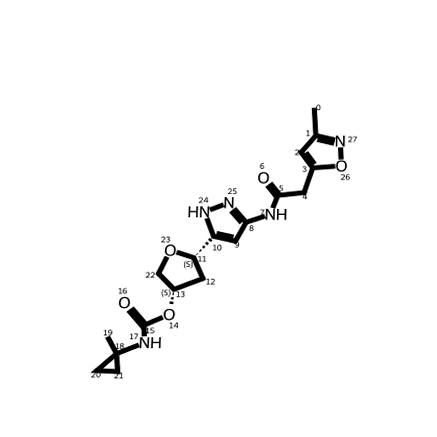 Cc1cc(CC(=O)Nc2cc([C@@H]3C[C@H](OC(=O)NC4(C)CC4)CO3)[nH]n2)on1